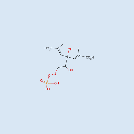 CC(=CC(O)(C=C(C)C(=O)O)C(O)COOP(=O)(O)O)C(=O)O